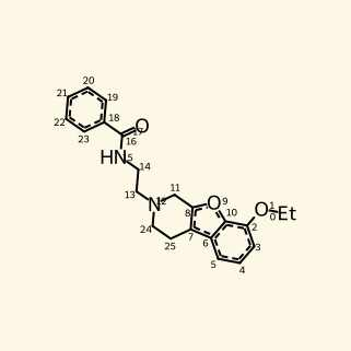 CCOc1cccc2c3c(oc12)CN(CCNC(=O)c1ccccc1)CC3